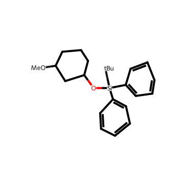 COC1CCCC(O[Si](c2ccccc2)(c2ccccc2)C(C)(C)C)C1